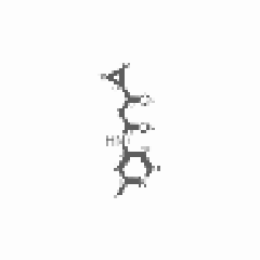 Cc1cc(NC(=O)CC(=O)C2CC2)ccn1